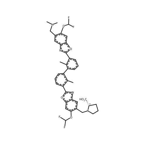 Cc1c(-c2nc3cc(CN(C)C)c(OC(F)F)cc3o2)cccc1-c1cccc(-c2nc3cc(CN4CCC[C@H]4C(=O)O)c(OC(F)F)cc3o2)c1C